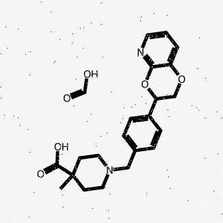 CC1(C(=O)O)CCN(Cc2ccc(C3COc4cccnc4O3)cc2)CC1.O=CO